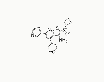 Nc1c([S+]([O-])C2CCC2)sc2nc(-c3cccnc3)cc(C3CCOCC3)c12